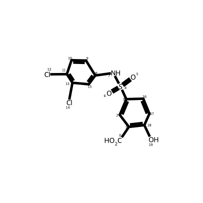 O=C(O)c1cc(S(=O)(=O)Nc2ccc(Cl)c(Cl)c2)ccc1O